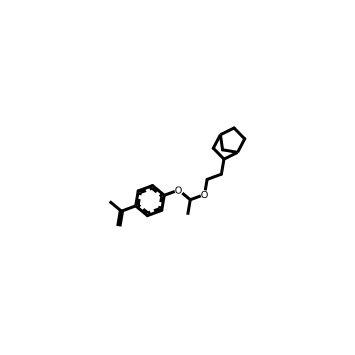 C=C(C)c1ccc(OC(C)OCCC2CC3CCC2C3)cc1